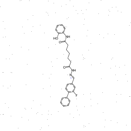 O=C(CCCCCC(=O)Nc1ccccc1O)N/N=C/c1ccc(-c2ccccc2)c(F)c1